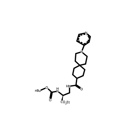 CCCCOC(=O)N[C@@H](CNC(=O)C1CCC2(CC1)CCN(c1ccncc1)CC2)C(=O)OCC